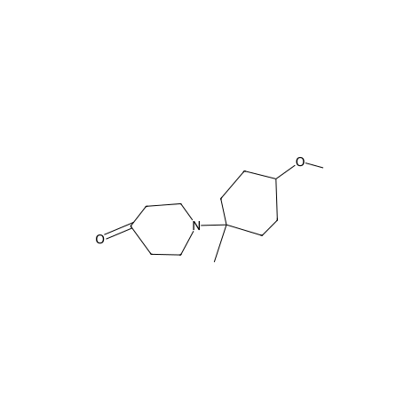 COC1CCC(C)(N2CCC(=O)CC2)CC1